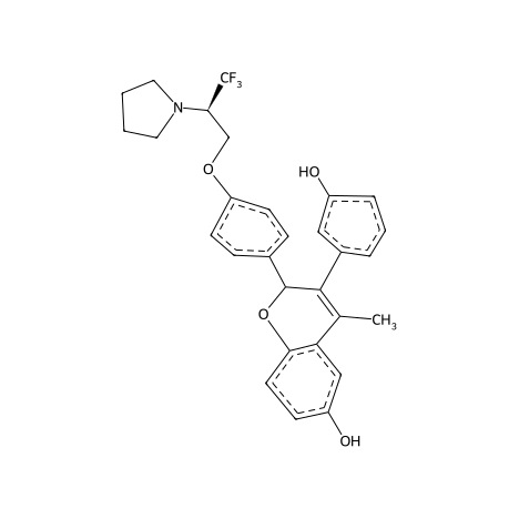 CC1=C(c2cccc(O)c2)C(c2ccc(OC[C@@H](N3CCCC3)C(F)(F)F)cc2)Oc2ccc(O)cc21